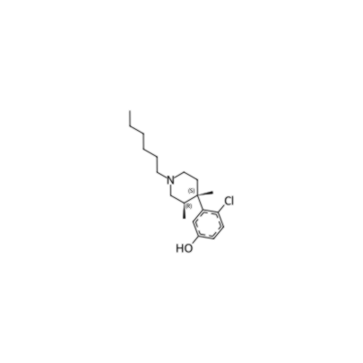 CCCCCCN1CC[C@](C)(c2cc(O)ccc2Cl)[C@@H](C)C1